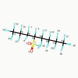 O=S(=O)(F)C(F)(C(F)(F)C(F)(F)C(F)(F)F)C(F)(F)C(F)(F)C(F)(F)C(F)(F)F